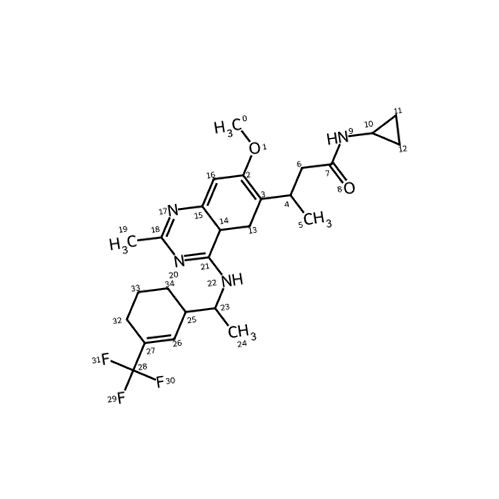 COC1=C(C(C)CC(=O)NC2CC2)CC2C(=C1)N=C(C)N=C2NC(C)C1C=C(C(F)(F)F)CCC1